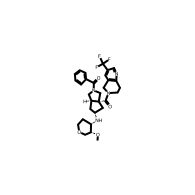 CO[C@@H]1COCC[C@@H]1N[C@@H]1C[C@H]2CN(C(=O)c3ccccc3)C[C@@]2(C(=O)N2CCc3ncc(C(F)(F)F)cc3C2)C1